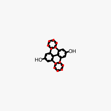 Oc1cc(-c2ccccc2)c(-c2c(-c3ccccc3)cc(O)cc2-c2ccccc2)c(-c2ccccc2)c1